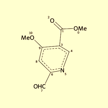 COC(=O)c1cnc(C=O)cc1OC